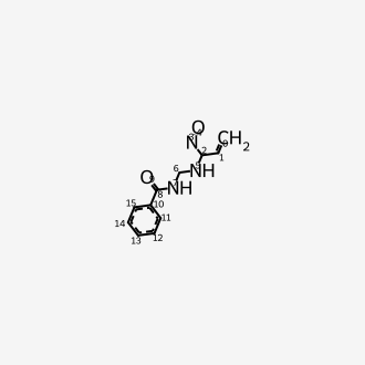 C=CC(N=O)NCNC(=O)c1ccccc1